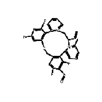 C=CC1C[n+]2ccccc2-c2c(cc(F)nc2F)CCc2cc(F)c(N=O)c(F)c2-c2cccc(C)[n+]21